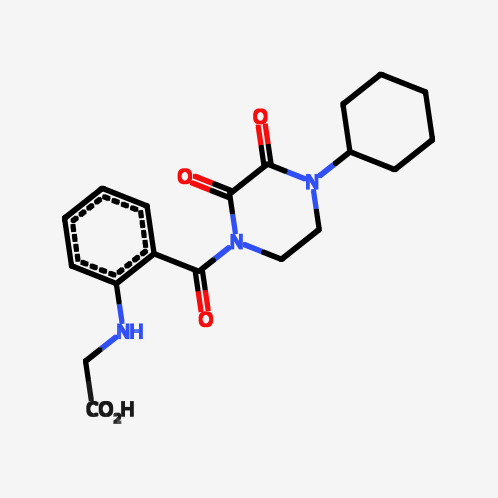 O=C(O)CNc1ccccc1C(=O)N1CCN(C2CCCCC2)C(=O)C1=O